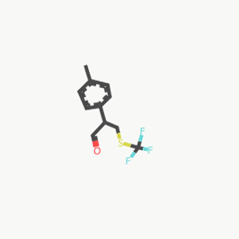 Cc1ccc(C(C=O)CSC(F)(F)F)cc1